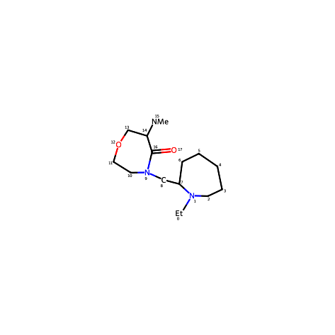 CCN1CCCCCC1CN1CCOCC(NC)C1=O